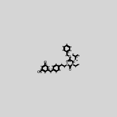 CCN(C(=O)OCCc1ccc(Cc2cc(Cl)cc(Cl)c2)cc1)[C@@H](CC(C)C)C(=O)OCc1ccccc1